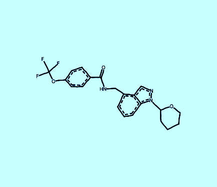 O=C(NCc1cccc2c1cnn2C1CCCCO1)c1ccc(OC(F)(F)F)cc1